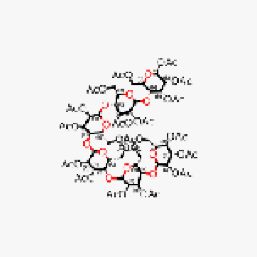 CC(=O)OC[C@H]1O[C@@H](OC(C)=O)[C@H](OC(C)=O)[C@H](OC(C)=O)[C@@H]1OC1O[C@H](COC(C)=O)[C@@H](OC2O[C@H](COC(C)=O)[C@@H](OC3O[C@H](COC(C)=O)[C@@H](OC4O[C@H](COC(C)=O)[C@@H](OC5O[C@H](COC(C)=O)[C@@H](OC(C)=O)[C@@H](OC(C)=O)[C@H]5OC(C)=O)[C@@H](OC(C)=O)[C@H]4OC(C)=O)[C@@H](OC(C)=O)[C@H]3OC(C)=O)[C@@H](OC(C)=O)[C@H]2OC(C)=O)[C@@H](OC(C)=O)[C@H]1OC(C)=O